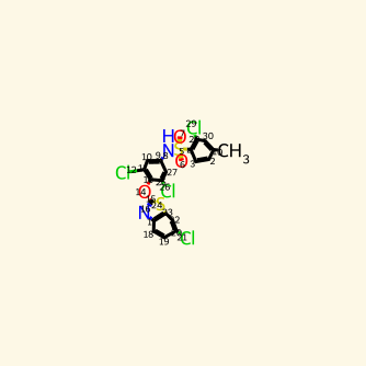 Cc1ccc(S(=O)(=O)Nc2cc(Cl)c(Oc3nc4ccc(Cl)cc4s3)c(Cl)c2)c(Cl)c1